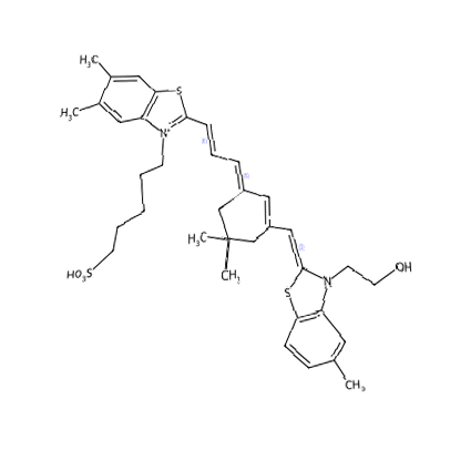 Cc1ccc2c(c1)N(CCO)/C(=C/C1=CC(=C/C=C/c3sc4cc(C)c(C)cc4[n+]3CCCCCS(=O)(=O)O)/CC(C)(C)C1)S2